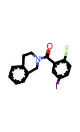 O=C(c1cc(I)ccc1F)N1CCc2ccccc2C1